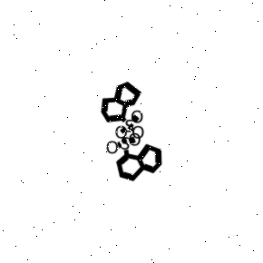 O=S(=O)(OS(=O)(=O)c1cccc2ccccc12)c1cccc2ccccc12